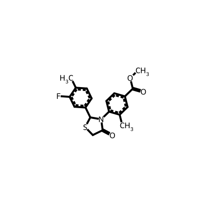 COC(=O)c1ccc(N2C(=O)CSC2c2ccc(C)c(F)c2)c(C)c1